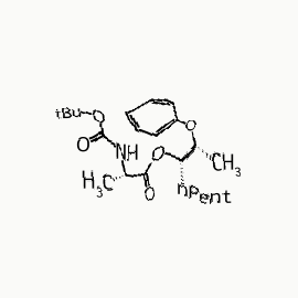 CCCCC[C@H](OC(=O)[C@H](C)NC(=O)OC(C)(C)C)[C@@H](C)Oc1ccccc1